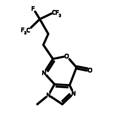 Cn1cnc2c(=O)oc(CCC(F)(C(F)(F)F)C(F)(F)F)nc21